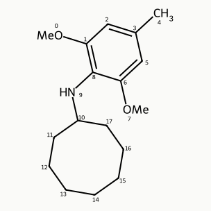 COc1cc(C)cc(OC)c1NC1CCCCCCC1